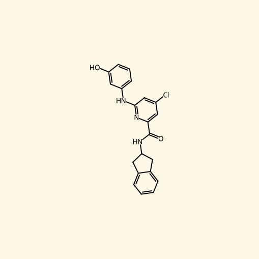 O=C(NC1Cc2ccccc2C1)c1cc(Cl)cc(Nc2cccc(O)c2)n1